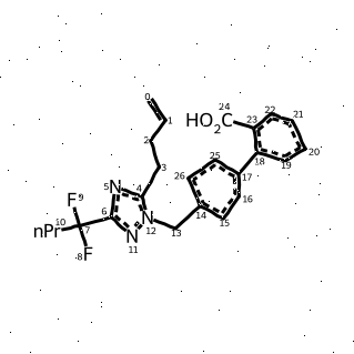 C=CCCc1nc(C(F)(F)CCC)nn1Cc1ccc(-c2ccccc2C(=O)O)cc1